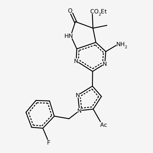 CCOC(=O)C1(C)C(=O)Nc2nc(-c3cc(C(C)=O)n(Cc4ccccc4F)n3)nc(N)c21